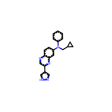 c1ccc(N(CC2CC2)c2ccc3ncc(-c4cn[nH]c4)nc3c2)cc1